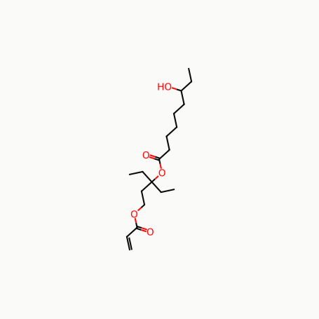 C=CC(=O)OCCC(CC)(CC)OC(=O)CCCCCC(O)CC